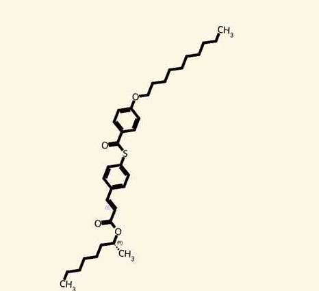 CCCCCCCCCCOc1ccc(C(=O)Sc2ccc(/C=C/C(=O)O[C@H](C)CCCCCC)cc2)cc1